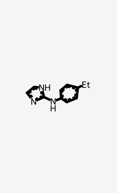 [CH2]Cc1ccc(Nc2ncc[nH]2)cc1